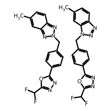 Cc1ccc2nn(Cc3ccc(-c4nnc(C(F)F)o4)cc3)nc2c1.Cc1ccc2nnn(Cc3ccc(-c4nnc(C(F)F)o4)cc3)c2c1